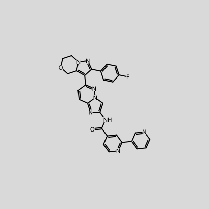 O=C(Nc1cn2nc(-c3c(-c4ccc(F)cc4)nn4c3COCC4)ccc2n1)c1ccnc(-c2cccnc2)c1